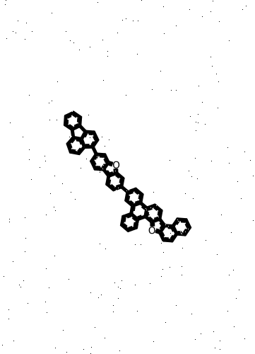 c1ccc2c(c1)-c1cccc3c(-c4ccc5c(c4)oc4cc(-c6ccc7c(c6)c6ccccc6c6c7ccc7c6oc6ccc8ccccc8c67)ccc45)ccc-2c13